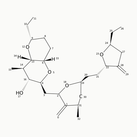 C=C1C(C[C@@H]2O[C@H]3CC[C@@H](CC)O[C@H]3[C@H](C)[C@H]2O)O[C@@H](CC[C@@H]2O[C@@H](CC)CC2=C)C[C@H]1C